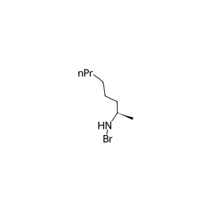 CCCCCC[C@@H](C)NBr